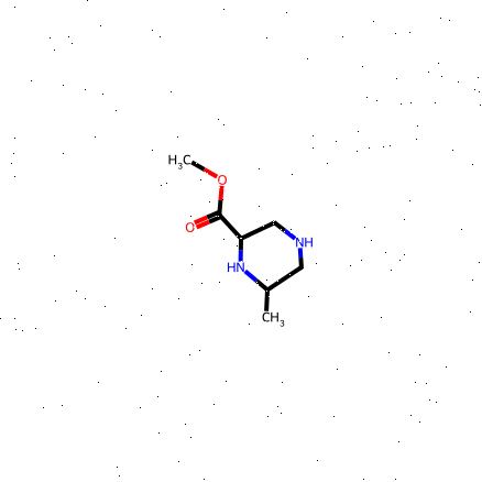 COC(=O)C1CNCC(C)N1